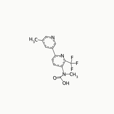 Cc1cncc(-c2ccc(N(C)C(=O)O)c(C(F)(F)F)n2)c1